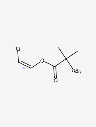 CCCCC(C)(C)C(=O)O/C=C\Cl